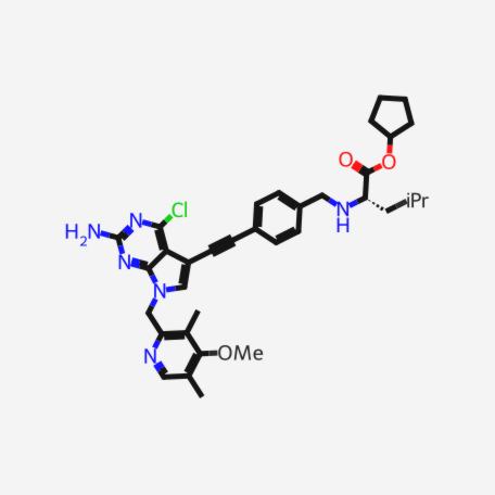 COc1c(C)cnc(Cn2cc(C#Cc3ccc(CN[C@@H](CC(C)C)C(=O)OC4CCCC4)cc3)c3c(Cl)nc(N)nc32)c1C